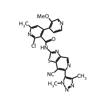 COc1cnccc1-c1cc(C)nc(Cl)c1C(=O)Nc1nc2cnc(-c3c(C)nnn3C)c(C#N)c2s1